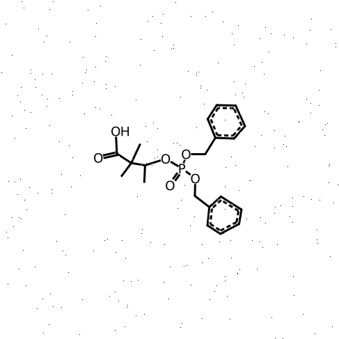 CC(OP(=O)(OCc1ccccc1)OCc1ccccc1)C(C)(C)C(=O)O